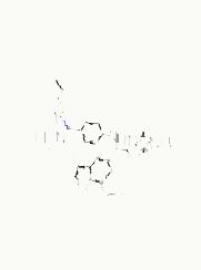 C=CCO/N=C(/N)c1ccc(N(C)C(C(=O)NS(N)(=O)=O)c2cc(CC)c3occ(C)c3c2)cc1